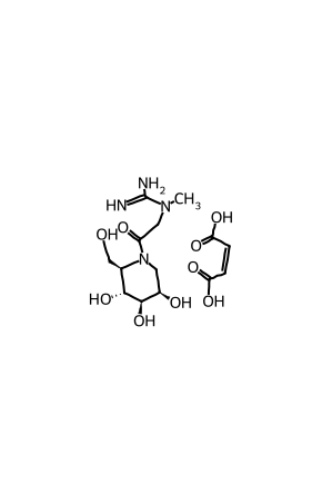 CN(CC(=O)N1C[C@@H](O)[C@@H](O)[C@H](O)[C@H]1CO)C(=N)N.O=C(O)/C=C\C(=O)O